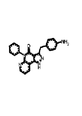 Nc1ccc(Cc2n[nH]c3c2c(=O)n(-c2ccccc2)c2ncccc32)cc1